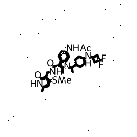 CSc1cc(C)[nH]c(=O)c1CNC(=O)c1c(C)n(C(C)C2CCC(NC3CC(F)(F)C3)CC2)c2cc(NC(C)=O)ccc12